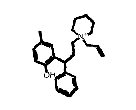 C=CC[N+]1(CCC(c2ccccc2)c2cc(C)ccc2O)CCCCC1